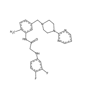 Cc1ccc(CN2CCN(c3ncccn3)CC2)cc1NC(=O)CNc1ccc(F)c(F)c1